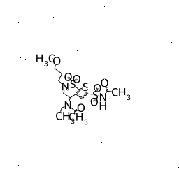 CCN(C(C)=O)[C@H]1CN(CCCOC)S(=O)(=O)c2sc(S(=O)(=O)NC(C)=O)cc21